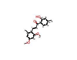 COc1cc(C)c(/C=C/C(=O)c2ccc(C)cc2O)c(OC)c1